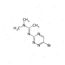 C/C(=N\c1ncc(Br)nn1)N(C)C